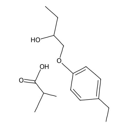 CC(C)C(=O)O.CCc1ccc(OCC(O)CC)cc1